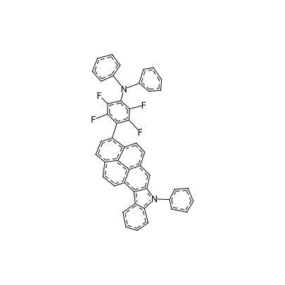 Fc1c(F)c(N(c2ccccc2)c2ccccc2)c(F)c(F)c1-c1ccc2ccc3c4c(ccc1c24)cc1c3c2ccccc2n1-c1ccccc1